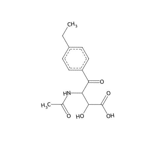 CCc1ccc(C(=O)C(NC(C)=O)C(O)C(=O)O)cc1